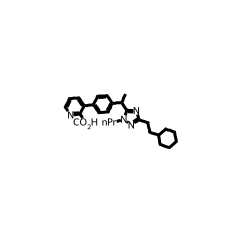 CCCn1nc(CCC2CCCCC2)nc1C(C)c1ccc(-c2cccnc2C(=O)O)cc1